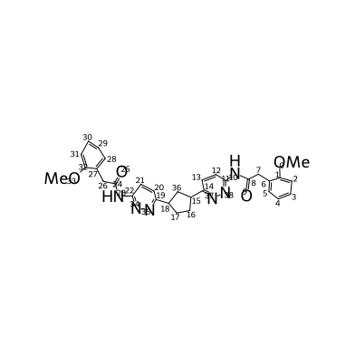 COc1ccccc1CC(=O)Nc1ccc(C2CCC(c3ccc(NC(=O)Cc4ccccc4OC)nn3)C2)nn1